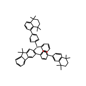 CC1(C)CCC(C)(C)c2cc(-c3ccc(-c4cc5c(cc4N(c4ccccc4)c4ccc(-c6cccc7c6C(C)(C)CCC7(C)C)cc4)C(C)(C)c4ccccc4-5)cc3)ccc21